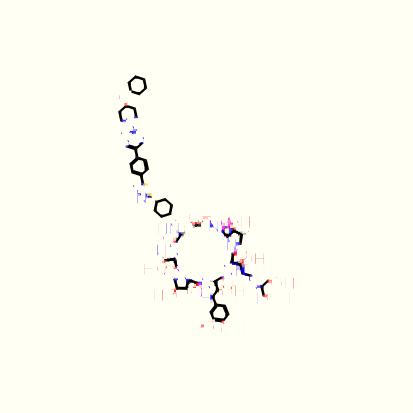 COc1cc(C[C@@H](O)[C@@H]2NC(=O)[C@@H]3C[C@@H](O)CN3C(=O)[C@H]([C@@H](C)O)NC(=O)[C@@H](NC[C@H]3CC[C@H](c4nnc(-c5ccc(-c6cnc(N7CCC(OC8CCCCC8)CC7)nc6)cc5)s4)CC3)C[C@@H](O)CNC(=O)[C@@H]3[C@@H](O)[C@@H](C)CN3C(=O)[C@H]([C@H](O)CCNC(CO)CO)NC2=O)ccc1O